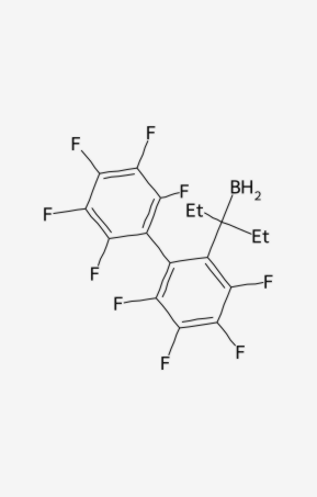 BC(CC)(CC)c1c(F)c(F)c(F)c(F)c1-c1c(F)c(F)c(F)c(F)c1F